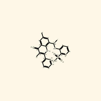 Cc1cc([C@@H](C)Oc2cccnc2S(N)(=O)=O)c2oc(-c3ccccn3)c(C)c(=O)c2c1